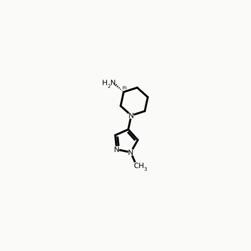 Cn1cc(N2CCC[C@@H](N)C2)cn1